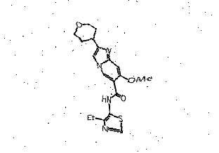 CCc1ncsc1NC(=O)c1cn2cc(C3CCOCC3)nc2cc1OC